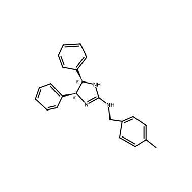 Cc1ccc(CNC2=N[C@@H](c3ccccc3)[C@@H](c3ccccc3)N2)cc1